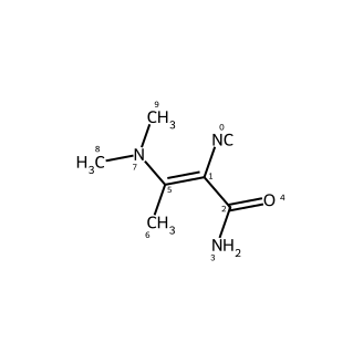 [C-]#[N+]/C(C(N)=O)=C(/C)N(C)C